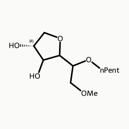 CCCCCOC(COC)C1OC[C@@H](O)C1O